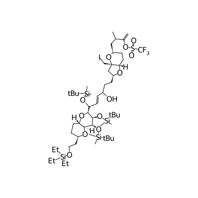 C=C(OS(=O)(=O)C(F)(F)F)C(C)C[C@H]1CC[C@@H]2O[C@@H](CCC(O)/C=C/C(O[Si](C)(C)C(C)(C)C)[C@@H]3O[C@H]4CC[C@H](CCO[Si](CC)(CC)CC)O[C@@H]4[C@H](O[Si](C)(C)C(C)(C)C)[C@@H]3O[Si](C)(C)C(C)(C)C)C[C@]2(CI)O1